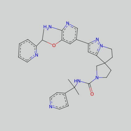 CC(Oc1cc(-c2cc3n(n2)CCC32CCN(C(=O)NC(C)(C)c3ccncc3)C2)cnc1N)c1ccccn1